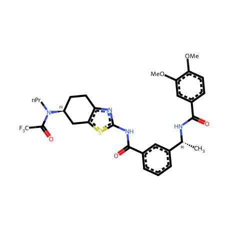 CCCN(C(=O)C(F)(F)F)[C@H]1CCc2nc(NC(=O)c3cccc([C@@H](C)NC(=O)c4ccc(OC)c(OC)c4)c3)sc2C1